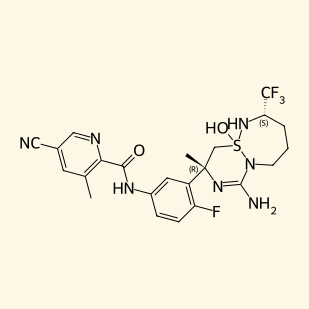 Cc1cc(C#N)cnc1C(=O)Nc1ccc(F)c([C@]2(C)CS3(O)N[C@H](C(F)(F)F)CCCN3C(N)=N2)c1